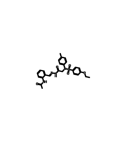 CCOc1ccc(S(=O)(=O)N(CC(=O)NN=Cc2ccccc2NC(C)=O)c2ccc(C)cc2)cc1